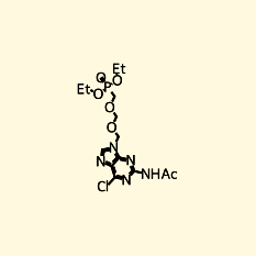 CCOP(=O)(COCOCn1cnc2c(Cl)nc(NC(C)=O)nc21)OCC